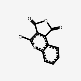 O=C1OC(=O)c2c1c(Cl)nc1ccccc21